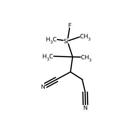 CC(C)(C(C#N)CC#N)[Si](C)(C)F